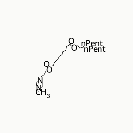 CCCCCC(CCCCC)CCOC(=O)CCCCCCCCC(=O)OCCCN1CCN(C)CC1